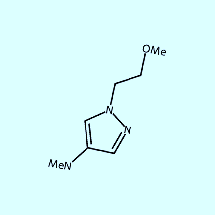 CNc1cnn(CCOC)c1